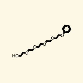 OCCOCCOCCOCCOCCOc1ccccc1